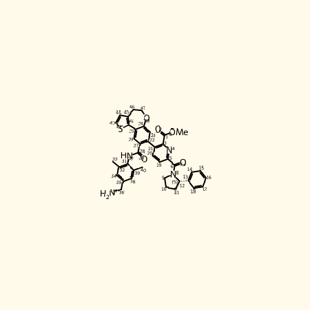 COC(=O)c1nc(C(=O)N2CCC[C@H]2c2ccccc2)ccc1-c1cc2c(cc1C(=O)Nc1c(C)cc(CN)cc1C)-c1sccc1CCO2